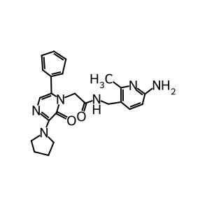 Cc1nc(N)ccc1CNC(=O)Cn1c(-c2ccccc2)cnc(N2CCCC2)c1=O